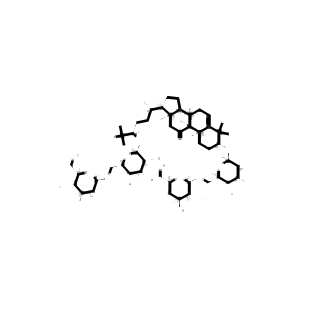 C[C@H](CC[C@@H](O[C@@H]1O[C@H](CO[C@@H]2O[C@H](CO)[C@@H](O)[C@H](O)[C@H]2O)[C@@H](O)[C@H](O)[C@H]1O)C(C)(C)O)[C@H]1CC[C@@]2(C)[C@@H]3CC=C4[C@@H](CC[C@H](O[C@@H]5O[C@H](CO[C@@H]6O[C@H](CO)[C@@H](O)[C@H](O)[C@H]6O)[C@@H](O)[C@H](O)[C@H]5O)C4(C)C)[C@]3(C)C(=O)C[C@]12C